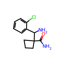 NC(=O)C1(C(N)c2ccccc2Cl)CCC1